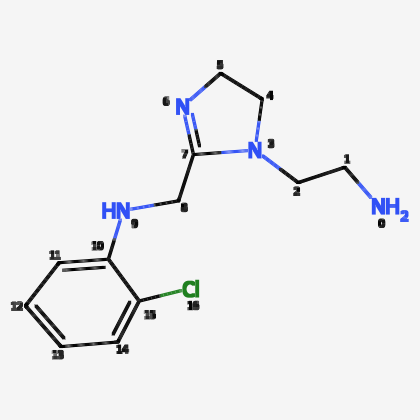 NCCN1CCN=C1CNc1ccccc1Cl